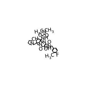 Cc1cc(CNC(=O)c2nc3n(c(=O)c2O)CC2(CN4CCCC4C)CCC3(NC(=O)C(=O)N(C)C)CC2)ccc1F